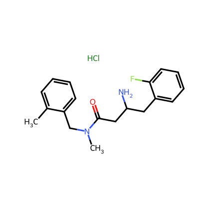 Cc1ccccc1CN(C)C(=O)CC(N)Cc1ccccc1F.Cl